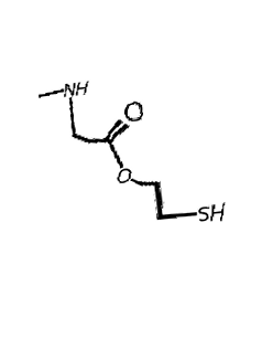 CNCC(=O)OCCS